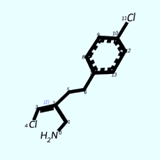 NC/C(=C\Cl)CCc1ccc(Cl)cc1